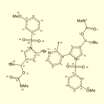 CNC(=O)OC(c1cc(-c2cccnc2F)n(S(=O)(=O)c2cccc(OC)c2)c1)C(C)(C)C.CNC(=O)OC(c1cc(Br)n(S(=O)(=O)c2cccc(OC)c2)c1)C(C)(C)C